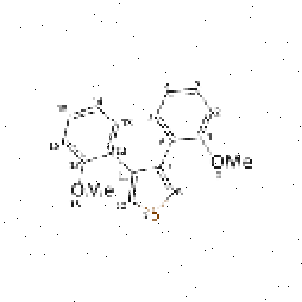 COc1ccccc1-c1cscc1-c1ccccc1OC